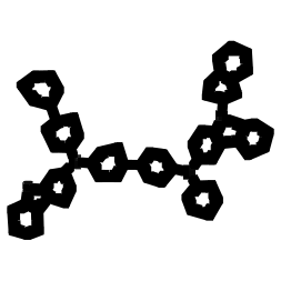 c1ccc(-c2ccc(N(c3ccc(-c4ccc(N(c5ccccc5)c5ccc6c(c5)c5ccccc5n6-c5ccc6ccccc6c5)cc4)cc3)c3ccc4c(c3)sc3ccccc34)cc2)cc1